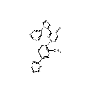 Cc1cc(-c2cccnn2)ccc1-n1ccc(=O)c(-c2ccnn2-c2ccccc2)n1